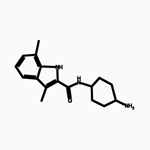 Cc1c(C(=O)NC2CCC(N)CC2)[nH]c2c(C)cccc12